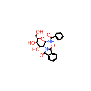 O=C(N[C@@H]1O[C@H](CO)[C@@H](O)[C@H](O)[C@H]1N1C(=O)c2ccccc2C1=O)c1ccccc1